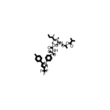 CC[C@@H](C)[C@@H](COC(=O)NS(=O)(=O)c1ccc(-n2nc(C(F)(F)F)cc2-c2ccc(C)cc2)cc1)N(C)[N+]([O-])=NOC(C)OC(=O)C(C)C